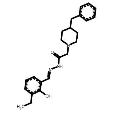 CCc1cccc(/C=N/NC(=O)CN2CCC(Cc3ccccc3)CC2)c1O